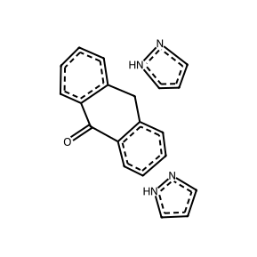 O=C1c2ccccc2Cc2ccccc21.c1cn[nH]c1.c1cn[nH]c1